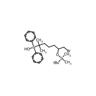 CC(C)(C)[Si](C)(C)OC(CBr)CCCC(C)(C)[Si](O)(c1ccccc1)c1ccccc1